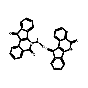 CCNn1c2c(c3ccccc3c1=O)C(=O)c1ccccc1-2.O=C1c2ccccc2-c2[nH]c(=O)c3ccccc3c21